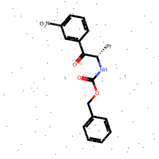 CC(C)[C@H](NC(=O)OCc1ccccc1)C(=O)c1[c]ccc([N+](=O)[O-])c1